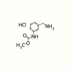 COC(=O)Nc1cccc(CN)c1.Cl